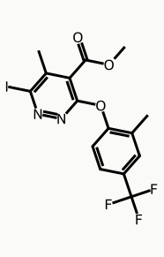 COC(=O)c1c(Oc2ccc(C(F)(F)F)cc2C)nnc(I)c1C